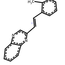 Cc1ccccc1/C=C/c1cnc2ccccc2n1